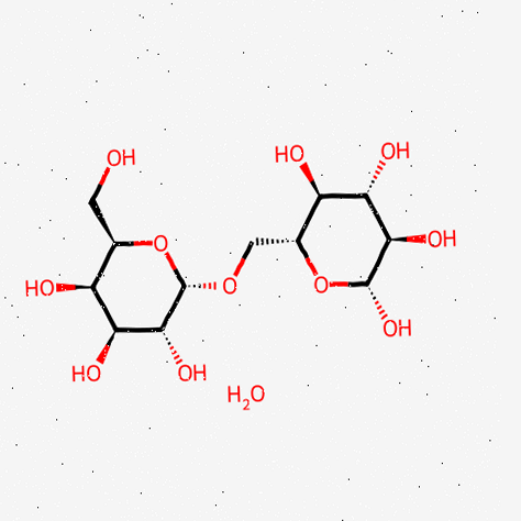 O.OC[C@H]1O[C@H](OC[C@H]2O[C@@H](O)[C@H](O)[C@@H](O)[C@@H]2O)[C@H](O)[C@@H](O)[C@H]1O